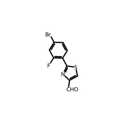 O=Cc1csc(-c2ccc(Br)cc2F)n1